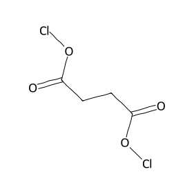 O=C(CCC(=O)OCl)OCl